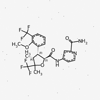 COc1c([C@@H]2[C@@H](C(=O)Nc3ccnc(C(N)=O)c3)OC(C)(C(F)(F)F)[C@@H]2C)cccc1C(F)(F)F